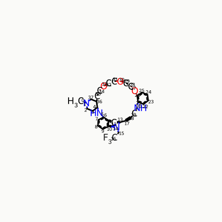 CN1CCC2Nc3cccc4c3cc(n4CC(F)(F)F)C#CCNc3ccccc3OCCOCCOCCC2C1